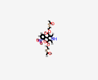 CC(=O)SCCOC(=O)C1=C(C)NC(C)=C(C(=O)OCCSC(C)=O)C1c1cccc([N+](=O)[O-])c1